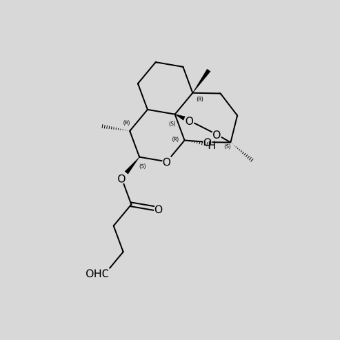 C[C@@H]1C2CCC[C@]3(C)CC[C@]4(C)OO[C@@]23[C@H](O[C@H]1OC(=O)CCC=O)O4